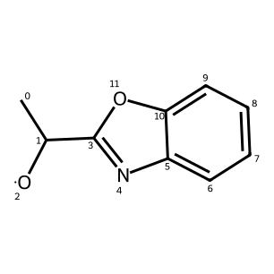 CC([O])c1nc2ccccc2o1